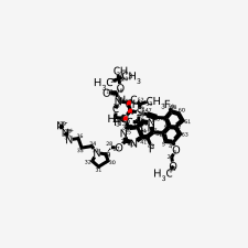 COCOc1cc(-c2ncc3c(N4CCN(C(=O)OC(C)(C)C)CC4)nc(OC[C@@H]4CCCN4CCCN=[N+]=[N-])nc3c2F)c2c(C#C[Si](C(C)C)(C(C)C)C(C)C)c(F)ccc2c1